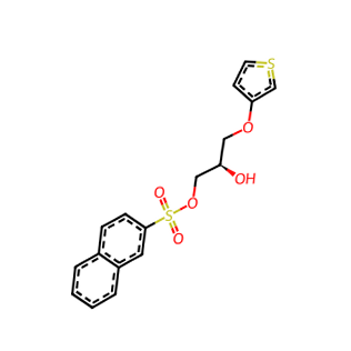 O=S(=O)(OC[C@H](O)COc1ccsc1)c1ccc2ccccc2c1